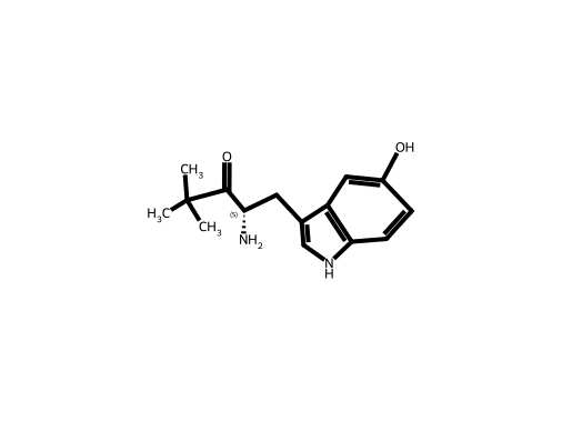 CC(C)(C)C(=O)[C@@H](N)Cc1c[nH]c2ccc(O)cc12